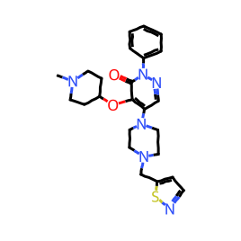 CN1CCC(Oc2c(N3CCN(Cc4ccns4)CC3)cnn(-c3ccccc3)c2=O)CC1